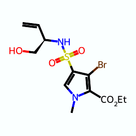 C=C[C@H](CO)NS(=O)(=O)c1cn(C)c(C(=O)OCC)c1Br